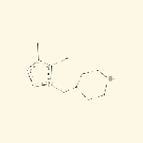 Cc1cnn(CC2CCNCC2)c1C